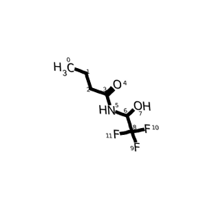 CCCC(=O)NC(O)C(F)(F)F